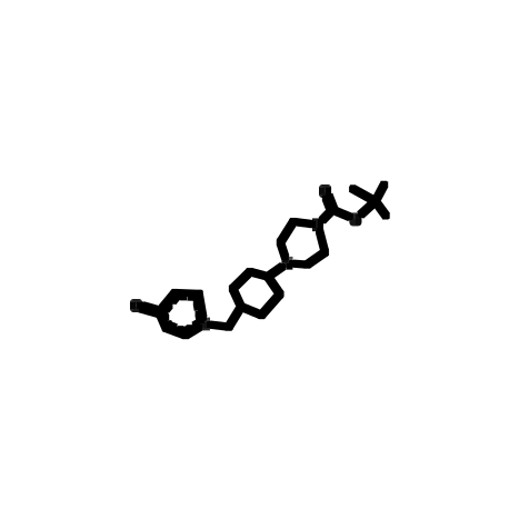 CC(C)(C)OC(=O)N1CCN(C2CCC(Cn3ccc(=O)cc3)CC2)CC1